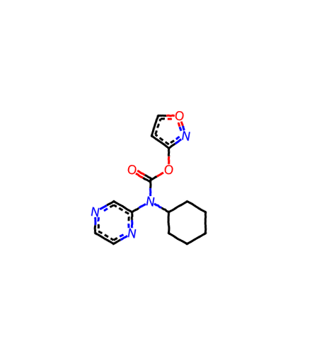 O=C(Oc1ccon1)N(c1cnccn1)C1CCCCC1